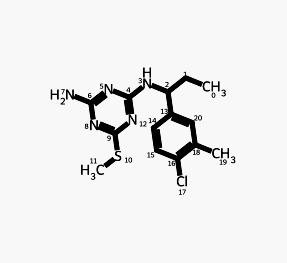 CCC(Nc1nc(N)nc(SC)n1)c1ccc(Cl)c(C)c1